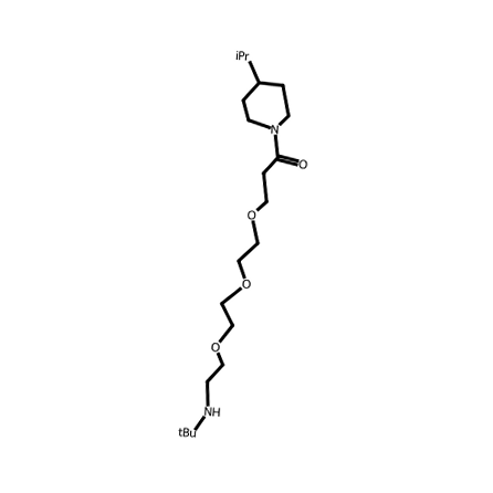 CC(C)C1CCN(C(=O)CCOCCOCCOCCNC(C)(C)C)CC1